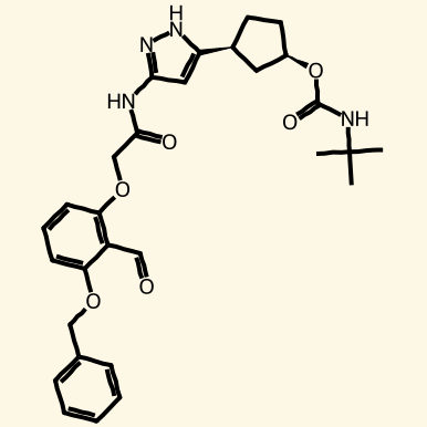 CC(C)(C)NC(=O)O[C@@H]1CC[C@H](c2cc(NC(=O)COc3cccc(OCc4ccccc4)c3C=O)n[nH]2)C1